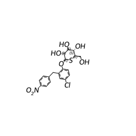 O=[N+]([O-])c1ccc(Cc2cc(Cl)ccc2O[C@@H]2S[C@H](CO)[C@@H](O)[C@H](O)[C@H]2O)cc1